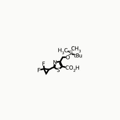 CC(C)(C)[Si](C)(C)OCc1nc(C2CC2(F)F)sc1C(=O)O